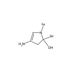 [2H]N1C=C(N)CC1([2H])O